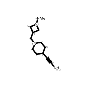 CNN1CC(CN2CCC(C#CN)CC2)C1